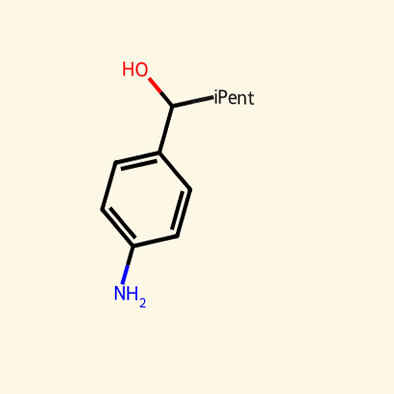 CCCC(C)C(O)c1ccc(N)cc1